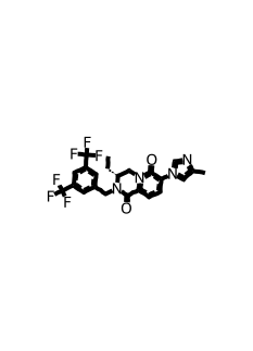 CC[C@@H]1Cn2c(ccc(-n3cnc(C)c3)c2=O)C(=O)N1Cc1cc(C(F)(F)F)cc(C(F)(F)F)c1